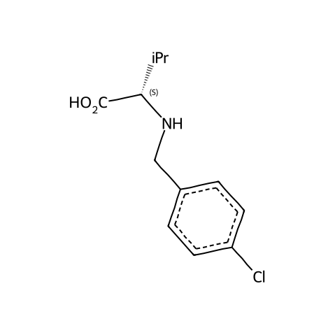 CC(C)[C@H](NCc1ccc(Cl)cc1)C(=O)O